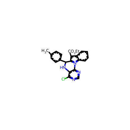 CCOC(=O)c1c2n(c3ccccc13)-c1ncnc(Cl)c1NC2c1ccc(C)cc1